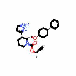 C#C[C@H](C)OC(=O)N1CCC[C@H](c2cc[nH]n2)[C@@H]1CO[C@H]1CC[C@@H](c2ccccc2)CC1